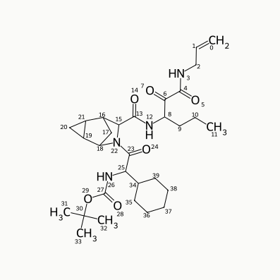 C=CCNC(=O)C(=O)C(CCC)NC(=O)C1C2CC(C3CC32)N1C(=O)C(NC(=O)OC(C)(C)C)C1CCCCC1